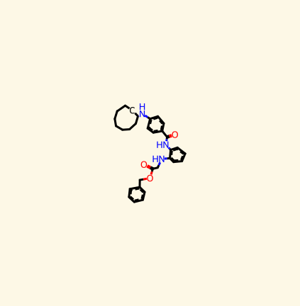 O=C(CNc1ccccc1NC(=O)c1ccc(NC2CCCCCCCC2)cc1)OCc1ccccc1